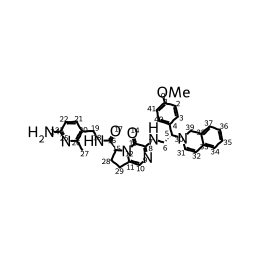 COc1ccc([C@@H](CNc2ncc3n(c2=O)[C@H](C(=O)NCc2ccc(N)nc2C)CC3)N2C=Cc3ccccc3C2)cc1